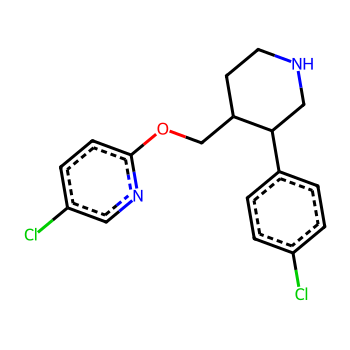 Clc1ccc(C2CNCCC2COc2ccc(Cl)cn2)cc1